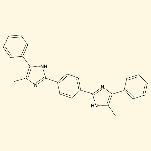 Cc1nc(-c2ccc(-c3nc(-c4ccccc4)c(C)[nH]3)cc2)[nH]c1-c1ccccc1